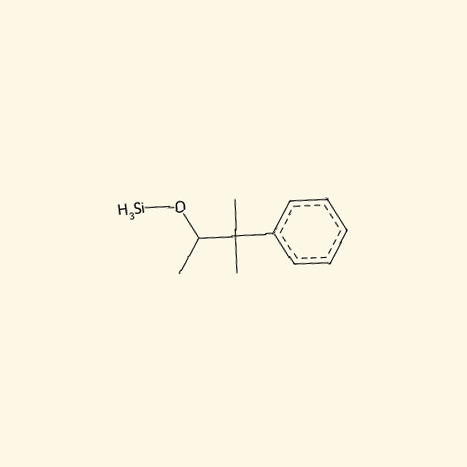 CC(O[SiH3])C(C)(C)c1ccccc1